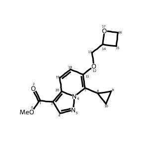 COC(=O)c1cnn2c(C3CC3)c(OCC3CCO3)ccc12